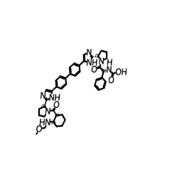 COCN[C@@H]1CCCC[C@@H]1C(=O)N1CCC[C@H]1c1ncc(-c2ccc(-c3ccc(-c4cnc([C@@H]5CCCN5C(=O)[C@H](NC(=O)O)c5ccccc5)[nH]4)cc3)cc2)[nH]1